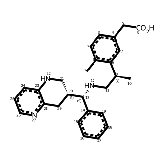 Cc1ccc(CC(=O)O)cc1[C@@H](C)CN[C@H](c1ccccc1)[C@H]1CNc2cccnc2C1